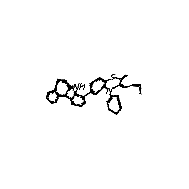 C=C1Sc2ccc(-c3cccc4c3[nH]c3ccc5ccccc5c34)cc2N(C2=CCCC=C2)/C1=C/C=C\C